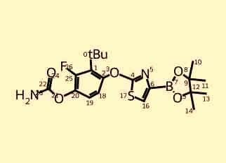 CC(C)(C)c1c(Oc2nc(B3OC(C)(C)C(C)(C)O3)cs2)ccc(OC(N)=O)c1F